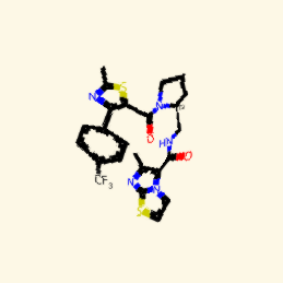 Cc1nc(-c2ccc(C(F)(F)F)cc2)c(C(=O)N2CCC[C@H]2CNC(=O)c2c(C)nc3sccn23)s1